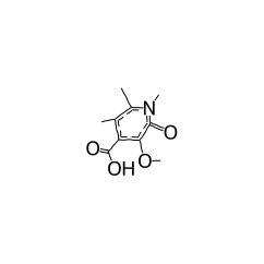 COc1c(C(=O)O)c(C)c(C)n(C)c1=O